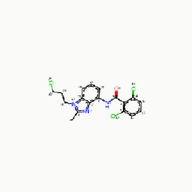 Cc1nc2c(NC(=O)c3c(Cl)cccc3Cl)cccc2n1CCCCl